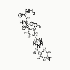 COc1cc(-c2nnn(C(C)c3ccc(F)cc3)n2)ccc1S(=O)(=O)NCC(N)=O